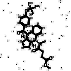 COC(=O)CCC(=O)N(C)[C@H]1c2ccccc2N(C(=O)c2ccc(OC(F)(F)F)cc2)[C@@H]2CCC[C@@H]21